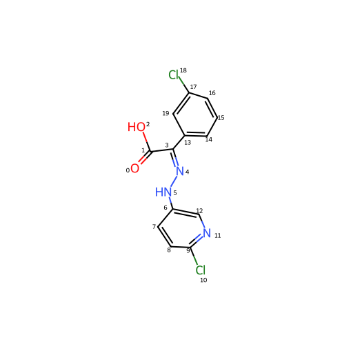 O=C(O)/C(=N\Nc1ccc(Cl)nc1)c1cccc(Cl)c1